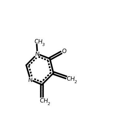 C=c1ncn(C)c(=O)c1=C